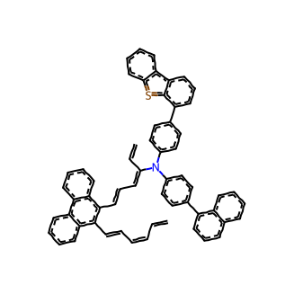 C=C/C=C\C=C\c1c(/C=C/C=C(\C=C)N(c2ccc(-c3cccc4ccccc34)cc2)c2ccc(-c3cccc4c3sc3ccccc34)cc2)c2ccccc2c2ccccc12